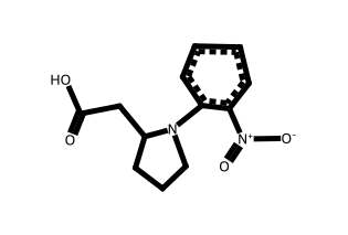 O=C(O)CC1CCCN1c1ccccc1[N+](=O)[O-]